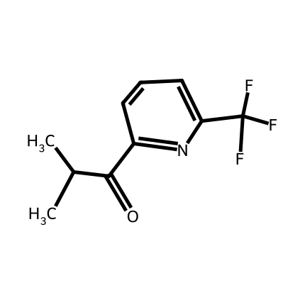 CC(C)C(=O)c1cccc(C(F)(F)F)n1